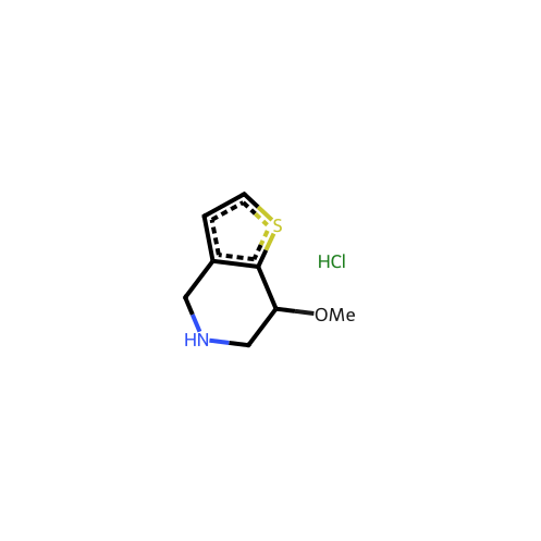 COC1CNCc2ccsc21.Cl